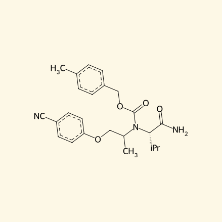 Cc1ccc(COC(=O)N(C(C)COc2ccc(C#N)cc2)[C@H](C(N)=O)C(C)C)cc1